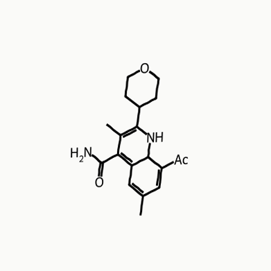 CC(=O)C1=CC(C)=CC2=C(C(N)=O)C(C)=C(C3CCOCC3)NC12